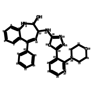 OC1Nc2ccccc2C(c2ccccc2)=NC1Nc1nnc(-c2cccnc2N2CCOCC2)o1